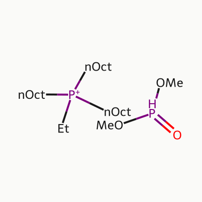 CCCCCCCC[P+](CC)(CCCCCCCC)CCCCCCCC.CO[PH](=O)OC